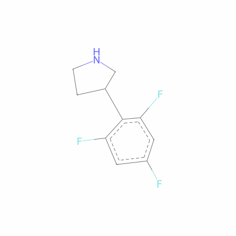 Fc1cc(F)c(C2CCNC2)c(F)c1